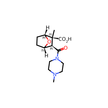 CN1CCN(C(=O)[C@H]2[C@@H]3CC[C@@H](O3)[C@@]2(C)C(=O)O)CC1